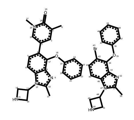 Cc1cc(-c2ccc3c(nc(C)n3C3CNC3)c2Oc2ccccc2)cn(C)c1=O.Cc1nc2c(Oc3ccccc3)c(Br)ccc2n1C1CNC1